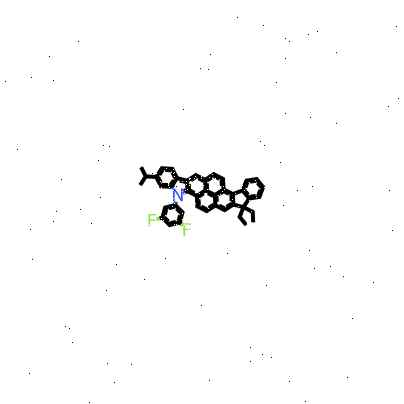 CCC1(CC)c2ccccc2-c2c1cc1ccc3c4c(ccc2c14)cc1c2ccc(C(C)C)cc2n(-c2cc(F)cc(F)c2)c13